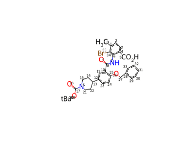 Cc1ccc(C(=O)O)c(NC(=O)c2cc(C3CCN(C(=O)OC(C)(C)C)CC3)ccc2OCc2ccccc2)c1Br